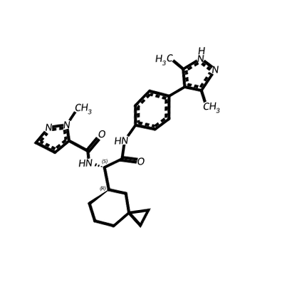 Cc1n[nH]c(C)c1-c1ccc(NC(=O)[C@@H](NC(=O)c2ccnn2C)[C@@H]2CCCC3(CC3)C2)cc1